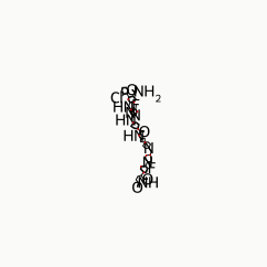 NC(=O)c1ccc(Nc2nc(Nc3ccc(C(=O)NC4CC5(CCN(CC6CCN(c7ccc(C8CCC(=O)NC8=O)cc7F)CC6)CC5)C4)cc3)ncc2F)cc1-c1ccccc1Cl